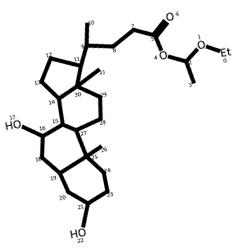 CCOC(C)OC(=O)CCC(C)C1CCC2C3C(O)CC4CC(O)CCC4(C)C3CCC12C